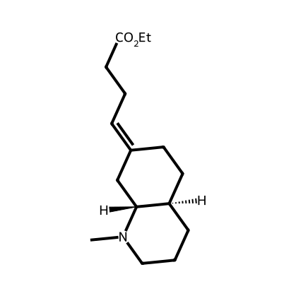 CCOC(=O)CC/C=C1\CC[C@H]2CCCN(C)[C@@H]2C1